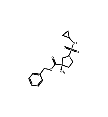 N[C@]1(C(=O)OCc2ccccc2)CCN(S(=O)(=O)NC2CC2)C1